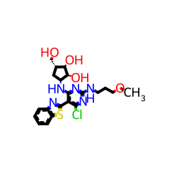 COCCCNc1nc(Cl)c(-c2nc3ccccc3s2)c(N[C@@H]2C[C@H](CO)[C@@H](O)[C@H]2O)n1